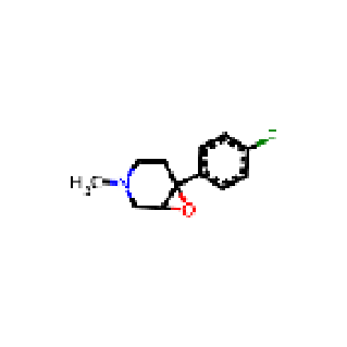 CN1CCC2(c3ccc(F)cc3)OC2C1